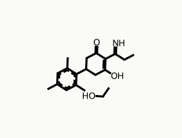 CCC(=N)C1=C(O)CC(c2c(C)cc(C)cc2C)CC1=O.CCO